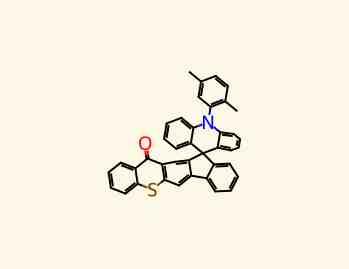 Cc1ccc(C)c(N2c3ccccc3C3(c4ccccc4-c4cc5sc6ccccc6c(=O)c5cc43)c3ccccc32)c1